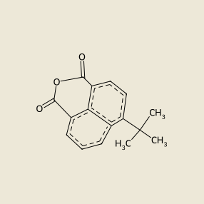 CC(C)(C)c1ccc2c3c(cccc13)C(=O)OC2=O